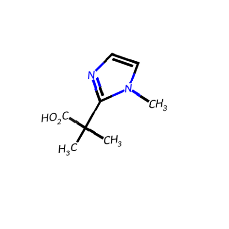 Cn1ccnc1C(C)(C)C(=O)O